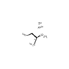 N[C@@H](CS)C(=O)O.[NaH].[Zn]